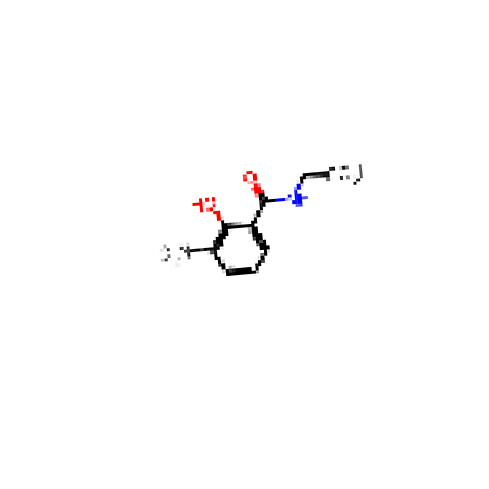 O=C(O)CNC(=O)c1cccc([N+](=O)[O-])c1O